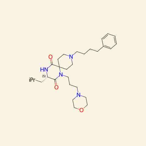 CC(C)C[C@@H]1NC(=O)C2(CCN(CCCCc3ccccc3)CC2)N(CCCN2CCOCC2)C1=O